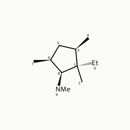 CC[C@@]1(C)[C@H](C)C[C@H](C)[C@@H]1NC